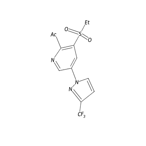 CCS(=O)(=O)c1cc(-n2ccc(C(F)(F)F)n2)cnc1C(C)=O